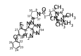 CC(C=C(C#N)CC(=O)N1CCC[C@@H](n2nc(-c3ccc(Oc4ccccc4)cc3F)c3c(N)ncnc32)C1)N1C[C@@H](C)N(C)[C@@H](C)C1